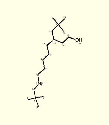 CC(C)(C)CNCCCCC[C@H](CCO)CC(C)(C)C